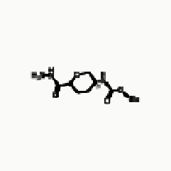 CC(C)(C)OC(=O)N[C@@H]1CCC(C(=O)NN)OC1